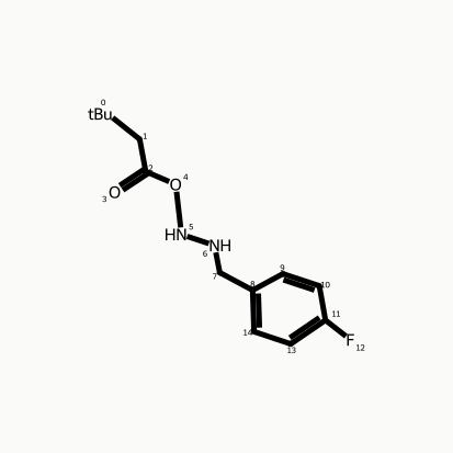 CC(C)(C)CC(=O)ONNCc1ccc(F)cc1